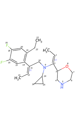 C/C=C(/C1CNCCO1)N(C/C(=C/C)c1cc(F)c(F)cc1CC)C1CC1